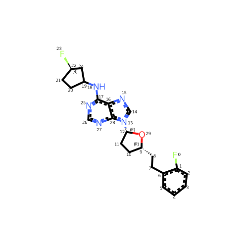 Fc1ccccc1CC[C@@H]1CC[C@H](n2cnc3c(NC4CC[C@@H](F)C4)ncnc32)O1